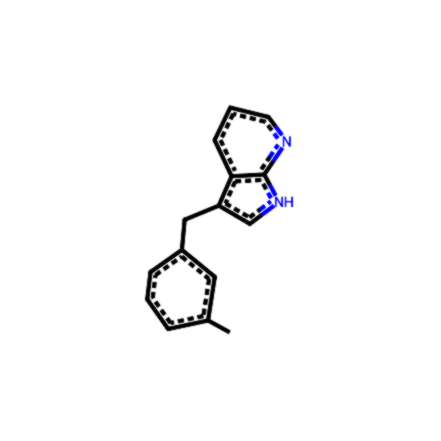 Cc1cccc(Cc2c[nH]c3ncccc23)c1